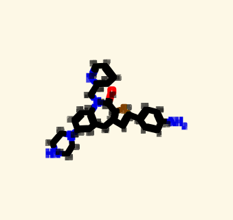 Nc1ccc(-c2cc3c(s2)C(=O)N(Cc2ccccn2)c2ccc(N4CCNCC4)cc2C3)cc1